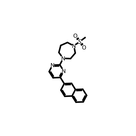 CS(=O)(=O)N1CCCN(c2nccc(-c3ccc4ccccc4c3)n2)CC1